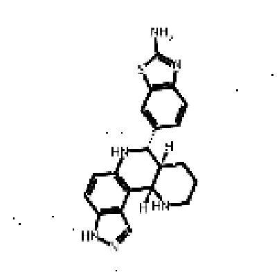 Nc1nc2ccc([C@H]3Nc4ccc5[nH]ncc5c4[C@H]4NCCC[C@@H]34)cc2s1